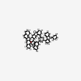 c1ccc(-c2cc3c(cc2-n2c4cc5ccccc5cc4c4ccc5ccccc5c42)oc2cccc(-c4nc(-c5ccc6ccccc6c5)nc(-c5cccc6c5c5ccccc5n6-c5ccccc5)n4)c23)cc1